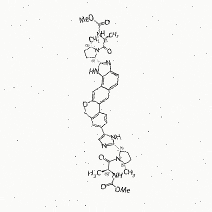 COC(=O)N[C@@H](C)C(=O)N1[C@@H](C)CC[C@H]1c1ncc(-c2ccc3c(c2)COc2cc4c(ccc5nc([C@@H]6CC[C@H](C)N6C(=O)[C@H](C)NC(=O)OC)[nH]c54)cc2-3)[nH]1